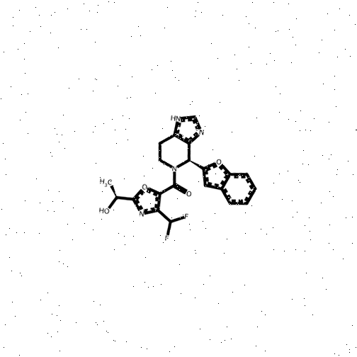 C[C@H](O)c1nc(C(F)F)c(C(=O)N2CCc3[nH]cnc3[C@H]2c2cc3ccccc3o2)o1